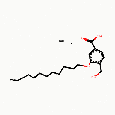 CCCCCCCCCCCOc1cc(C(=O)O)ccc1CO.[NaH]